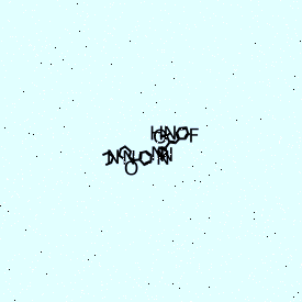 CCN(CC)[C@H]1CCCN(C(=O)c2ccc(-n3cc(-c4cc5cc(F)ccc5[nH]c4=O)nn3)cc2)C1